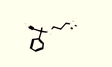 CC(C#N)(NCCCS(=O)(=O)O)c1ccccc1